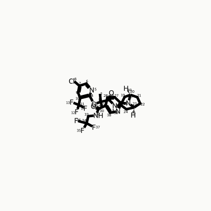 CC(C)(Oc1ncc(Cl)cc1C(F)(F)F)C(=O)N[C@H]1C[C@H]2CC[C@@H](C1)N2c1ccc(C(=O)NCC(F)(F)F)cn1